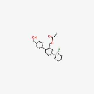 C=CC(=O)OCc1cc(-c2ccccc2F)ccc1-c1ccc(CO)cc1